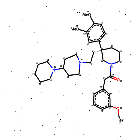 COc1ccc([C@@]2(CCN3CCC(N4CCCCC4)CC3)CCCN(C(=O)Cc3cccc(OC(C)C)c3)C2)cc1OC